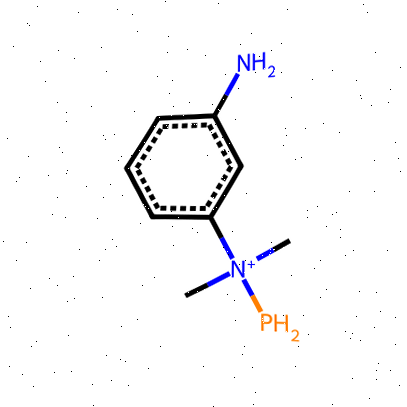 C[N+](C)(P)c1cccc(N)c1